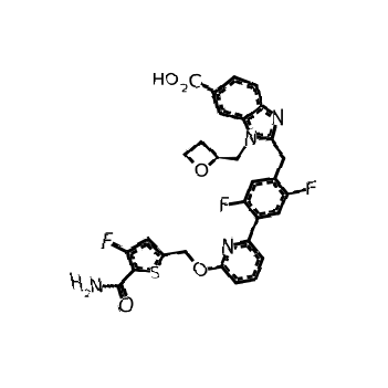 NC(=O)c1sc(COc2cccc(-c3cc(F)c(Cc4nc5ccc(C(=O)O)cc5n4C[C@@H]4CCO4)cc3F)n2)cc1F